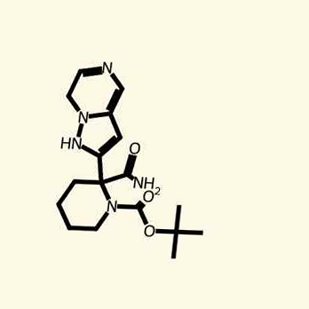 CC(C)(C)OC(=O)N1CCCCC1(C(N)=O)C1=CC2=CN=CCN2N1